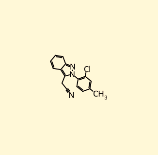 Cc1ccc(-n2nc3ccccc3c2CC#N)c(Cl)c1